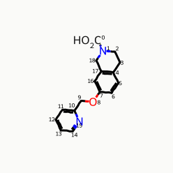 O=C(O)N1CCc2ccc(OCc3ccccn3)cc2C1